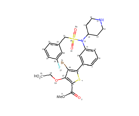 COC(=O)c1sc(-c2cccc(N(C3CCNCC3)S(=O)(=O)Cc3cccc(F)c3)c2)c(Br)c1OCC(=O)O